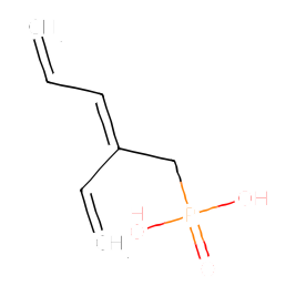 C=C/C=C(\C=C)CP(=O)(O)O